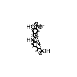 CC(CC(=O)O)c1ccc(NC(=O)Cc2ccc([N+](=O)[O-])c(O)c2)cn1